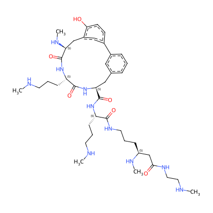 CNCCC[C@H](NC(=O)[C@@H]1Cc2cccc(c2)-c2ccc(O)c(c2)C[C@H](NC)C(=O)N[C@@H](CCCNC)C(=O)N1)C(=O)NCCC[C@@H](CC(=O)NCCNC)NC